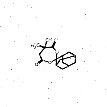 CC1(C)CC(=O)OC2(OC1=O)C1CC3CC(C1)CC2C3